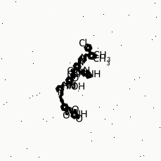 CC1(C)CCC(CN2CCN(c3ccc(C(=O)NS(=O)(=O)c4ccc(NCC5CCCN(CCC#Cc6ccc7c(c6)CN(C6CCC(=O)NC6=O)C7=O)C5)c(NO)c4)c(Oc4cnc5[nH]ccc5c4)c3)CC2)=C(c2ccc(Cl)cc2)C1